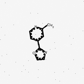 Cc1cc(-c2nc[c]o2)ccn1